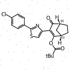 CC(C)(C)C(=O)OC1=C(c2csc(-c3ccc(Cl)cc3)n2)C(=O)[C@@H]2CC[C@H]1C2